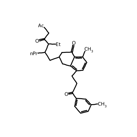 CCCC(CC1CC(=O)c2c(C)ccc(CCC(=O)c3cccc(C)c3)c2C1)C(CC)C(=O)CC(C)=O